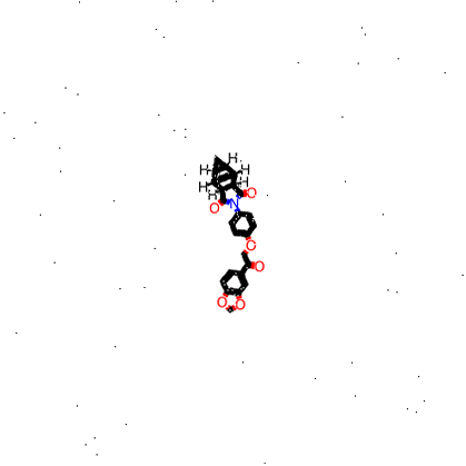 O=C(COc1ccc(N2C(=O)[C@@H]3[C@@H]4C=C[C@@H]([C@H]5C[C@@H]45)[C@@H]3C2=O)cc1)c1ccc2c(c1)OCO2